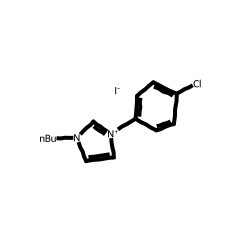 CCCCn1cc[n+](-c2ccc(Cl)cc2)c1.[I-]